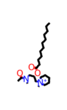 CCCCCCCCCCCC(=O)OC(CN(C)C(C)=O)C[N+]1(C)CCCCC1